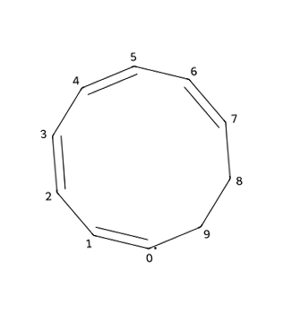 [C]1=CC=CC=CC=CCC1